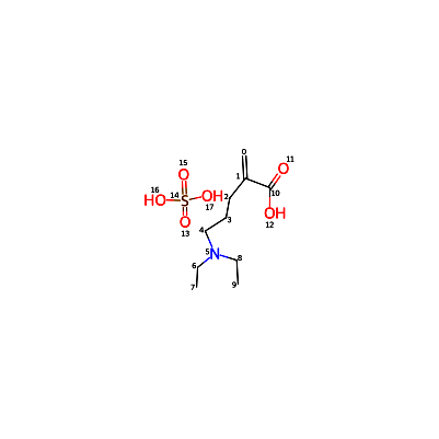 C=C(CCCN(CC)CC)C(=O)O.O=S(=O)(O)O